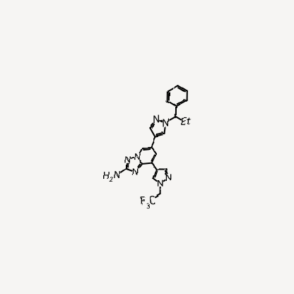 CCC(c1ccccc1)n1cc(-c2cc(-c3cnn(CC(F)(F)F)c3)c3nc(N)nn3c2)cn1